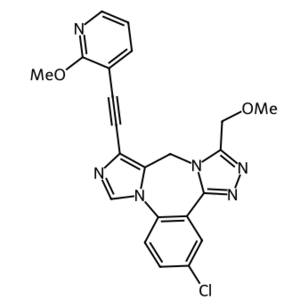 COCc1nnc2n1Cc1c(C#Cc3cccnc3OC)ncn1-c1ccc(Cl)cc1-2